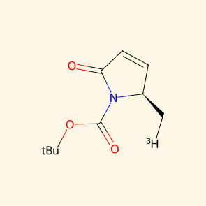 [3H]C[C@@H]1C=CC(=O)N1C(=O)OC(C)(C)C